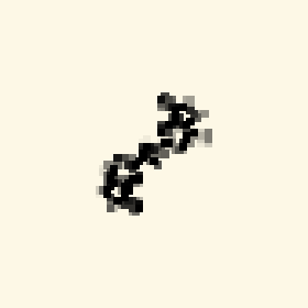 O=C1CCC(=O)N1OC(=O)C12CC(C(=O)ON3C(=O)CCC3O)(C1)C2